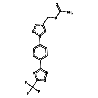 NC(=O)OCc1cnn(-c2ccc(-c3noc(C(F)(F)F)n3)cc2)c1